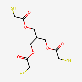 O=C(CS)OCC(COC(=O)CS)COC(=O)CS